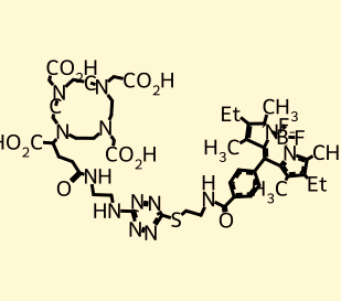 CCC1=C(C)C2=C(c3ccc(C(=O)NCCSc4nnc(NCCNC(=O)CCC(C(=O)O)N5CCN(CC(=O)O)CCN(CC(=O)O)CCN(CC(=O)O)CC5)nn4)cc3)c3c(C)c(CC)c(C)n3[B-](F)(F)[N+]2=C1C